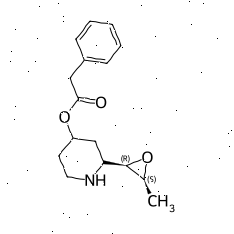 C[C@@H]1O[C@@H]1C1CC(OC(=O)Cc2ccccc2)CCN1